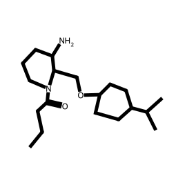 CCCC(=O)N1CCCC(N)C1COC1CCC(C(C)C)CC1